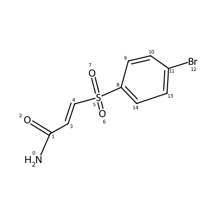 NC(=O)C=CS(=O)(=O)c1ccc(Br)cc1